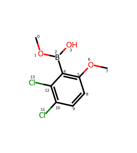 COB(O)c1c(OC)ccc(Cl)c1Cl